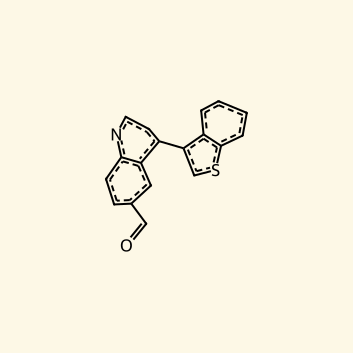 O=Cc1ccc2nccc(-c3csc4ccccc34)c2c1